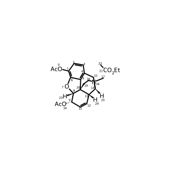 CC(=O)Oc1ccc2c3c1O[C@H]1[C@@H](OC(C)=O)C=C[C@H]4[C@@H](C2)N(C)CC[C@@]341.CCOC(C)=O